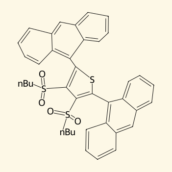 CCCCS(=O)(=O)c1c(-c2c3ccccc3cc3ccccc23)sc(-c2c3ccccc3cc3ccccc23)c1S(=O)(=O)CCCC